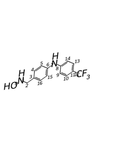 ONCc1ccc(Nc2ccc(C(F)(F)F)cc2)cc1